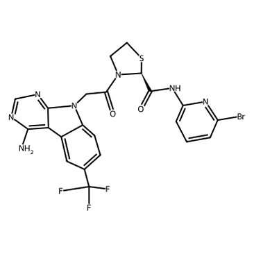 Nc1ncnc2c1c1cc(C(F)(F)F)ccc1n2CC(=O)N1CCS[C@H]1C(=O)Nc1cccc(Br)n1